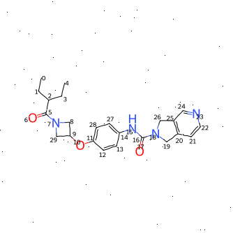 CCC(CC)C(=O)N1CC(Oc2ccc(NC(=O)N3Cc4ccncc4C3)cc2)C1